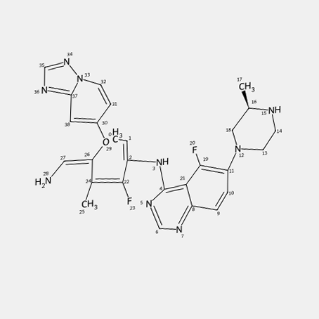 C\C=C(Nc1ncnc2ccc(N3CCN[C@H](C)C3)c(F)c12)/C(F)=C(C)\C(=C/N)Oc1ccn2ncnc2c1